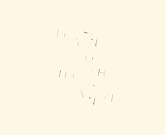 CC(C)(C)c1ccnc(OCC(C)(C)c2ccnc(Cl)c2)c1